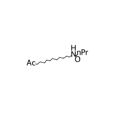 CCCC(=O)NCCCCCCCCCCCC(C)=O